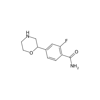 NC(=O)c1ccc(C2CNCCO2)cc1F